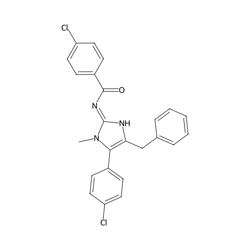 Cn1c(-c2ccc(Cl)cc2)c(Cc2ccccc2)[nH]/c1=N\C(=O)c1ccc(Cl)cc1